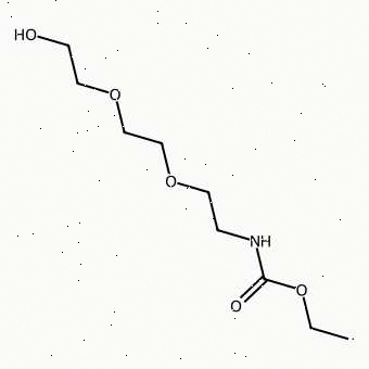 [CH2]COC(=O)NCCOCCOCCO